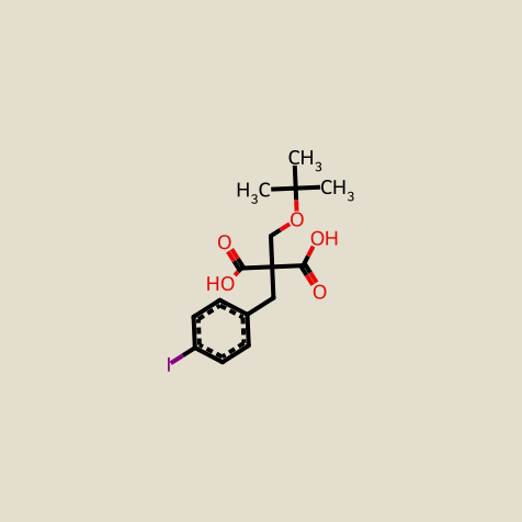 CC(C)(C)OCC(Cc1ccc(I)cc1)(C(=O)O)C(=O)O